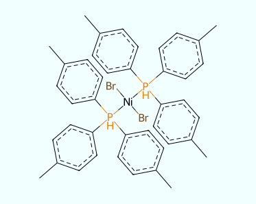 Cc1ccc([PH](c2ccc(C)cc2)(c2ccc(C)cc2)[Ni]([Br])([Br])[PH](c2ccc(C)cc2)(c2ccc(C)cc2)c2ccc(C)cc2)cc1